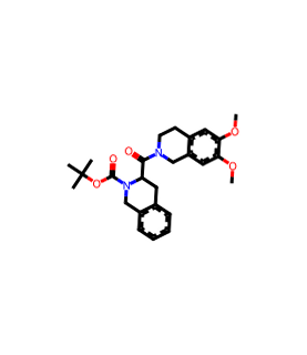 COc1cc2c(cc1OC)CN(C(=O)C1Cc3ccccc3CN1C(=O)OC(C)(C)C)CC2